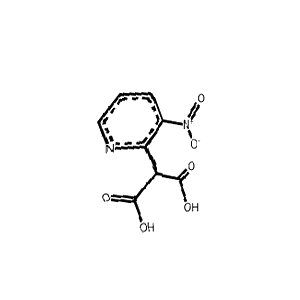 O=C(O)C(C(=O)O)c1ncccc1[N+](=O)[O-]